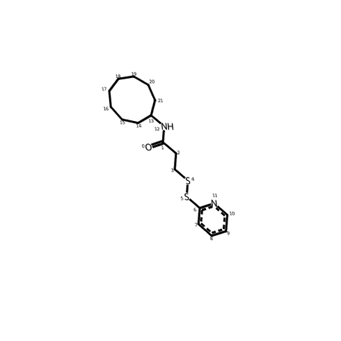 O=C(CCSSc1ccccn1)NC1CCCCCCCC1